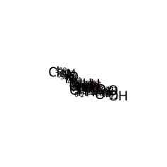 CC(C)C1=C2[C@H]3CC[C@@H]4[C@@]5(C)CC[C@H](OC(=O)[C@H]6C[C@@H](C(=O)O)C6(C)C)C(C)(C)[C@@H]5CC[C@@]4(C)[C@]3(C)CC[C@@]2(NC(=O)C(C)(C)c2nc(-c3ccc(Cl)cc3)no2)CC1=O